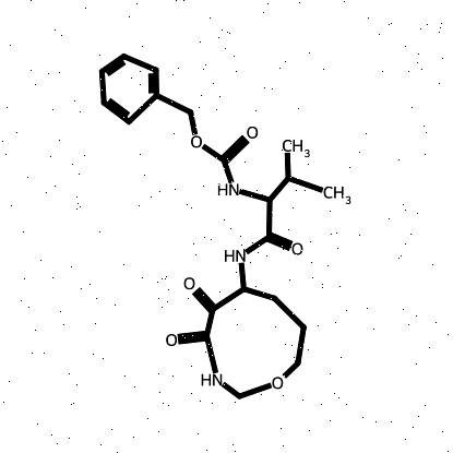 CC(C)C(NC(=O)OCc1ccccc1)C(=O)NC1CCCOCNC(=O)C1=O